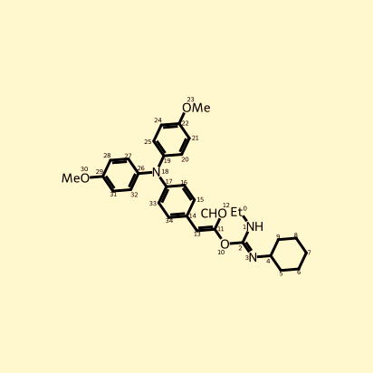 CCN/C(=N\C1CCCCC1)O/C(C=O)=C/c1ccc(N(c2ccc(OC)cc2)c2ccc(OC)cc2)cc1